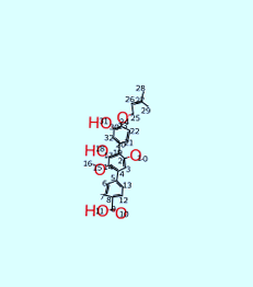 COc1cc(-c2ccc(C(=O)O)cc2)c(OC)c(O)c1-c1ccc(OCC=C(C)C)c(O)c1